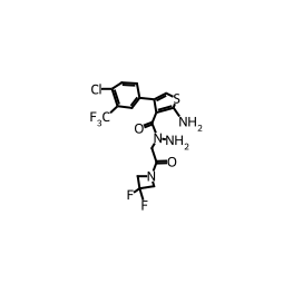 Nc1scc(-c2ccc(Cl)c(C(F)(F)F)c2)c1C(=O)N(N)CC(=O)N1CC(F)(F)C1